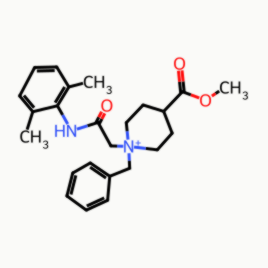 COC(=O)C1CC[N+](CC(=O)Nc2c(C)cccc2C)(Cc2ccccc2)CC1